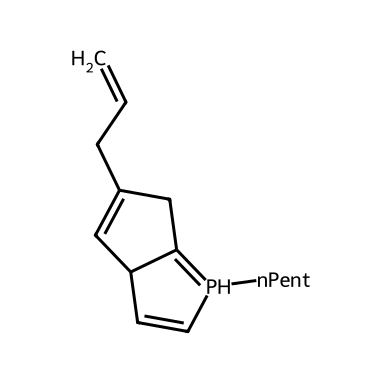 C=CCC1=CC2C=C[PH](CCCCC)=C2C1